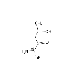 [CH2]C(O)CC(=O)[C@@H](N)CCC